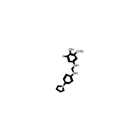 O=Cc1cc(NCNc2ccc(N3CCCC3)cc2)cc(F)c1O